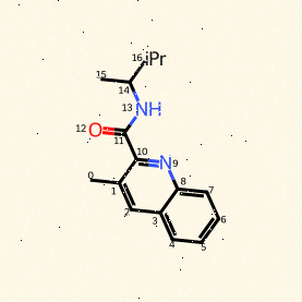 Cc1cc2ccccc2nc1C(=O)NC(C)C(C)C